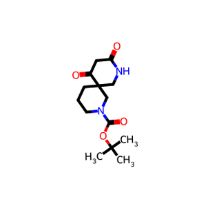 CC(C)(C)OC(=O)N1CCCC2(CNC(=O)CC2=O)C1